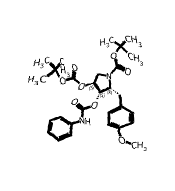 COc1ccc(C[C@@H]2[C@H](OC(=O)Nc3ccccc3)[C@@H](OC(=O)OC(C)(C)C)CN2C(=O)OC(C)(C)C)cc1